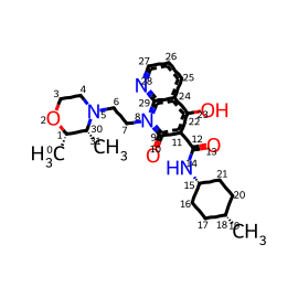 C[C@@H]1OCCN(CCn2c(=O)c(C(=O)N[C@H]3CC[C@@H](C)CC3)c(O)c3cccnc32)[C@@H]1C